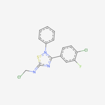 Fc1cc(-c2nc(=NCCl)sn2-c2ccccc2)ccc1Cl